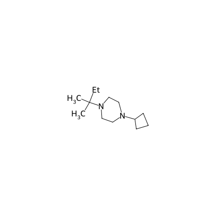 CCC(C)(C)N1CCN(C2CCC2)CC1